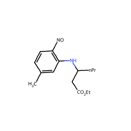 CCCC(CC(=O)OCC)Nc1cc(C)ccc1N=O